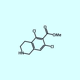 COC(=O)c1c(Cl)cc2c(c1Cl)CCNC2